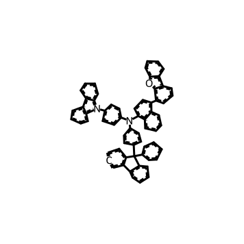 c1ccc(C2(c3ccc(N(c4ccc(-n5c6ccccc6c6ccccc65)cc4)c4ccc(-c5cccc6c5oc5ccccc56)c5ccccc45)cc3)c3ccccc3-c3ccccc32)cc1